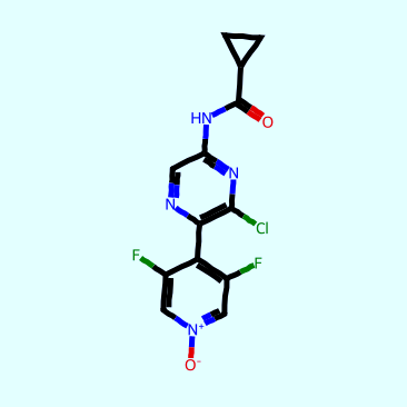 O=C(Nc1cnc(-c2c(F)c[n+]([O-])cc2F)c(Cl)n1)C1CC1